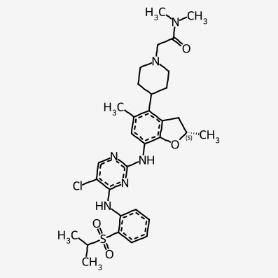 Cc1cc(Nc2ncc(Cl)c(Nc3ccccc3S(=O)(=O)C(C)C)n2)c2c(c1C1CCN(CC(=O)N(C)C)CC1)C[C@H](C)O2